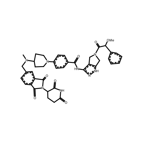 COC(C(=O)N1Cc2[nH]nc(NC(=O)c3ccc(N4CCC(N(C)Cc5ccc6c(c5)C(=O)N(C5CCC(=O)NC5=O)C6=O)CC4)cc3)c2C1)c1ccccc1